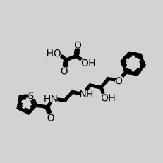 O=C(NCCNCC(O)COc1ccccc1)c1cccs1.O=C(O)C(=O)O